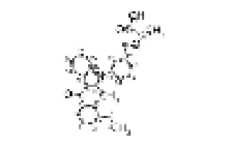 CCc1cccc(C(=O)c2c(C)n(-c3cccc(CO[C@@H](C)C(=O)O)c3)c3ccccc23)c1